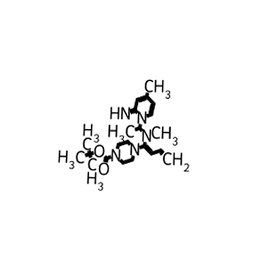 C=C/C=C(/N1CCN(C(=O)OC(C)(C)C)CC1)N(C)C(C)n1ccc(C)cc1=N